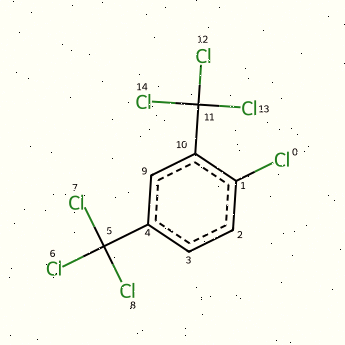 Clc1ccc(C(Cl)(Cl)Cl)cc1C(Cl)(Cl)Cl